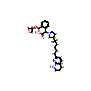 O=C(O)C(c1ccccc1COC1COC1)N1CCC(C(F)(F)CCCCc2ccc3c(n2)NCCC3)C1